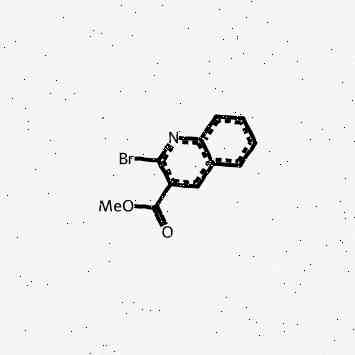 COC(=O)c1cc2ccccc2nc1Br